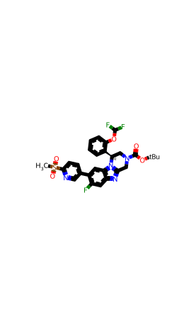 CC(C)(C)OC(=O)N1Cc2nc3cc(F)c(-c4ccc(S(C)(=O)=O)nc4)cc3n2[C@@H](c2ccccc2OC(F)F)C1